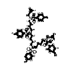 Cc1ccc(S(=O)(=O)N(CCCCN(CCCCN(CC2CC2)S(=O)(=O)c2ccc(C)cc2)S(=O)(=O)c2ccc(C)cc2)CCCCN(CC2CC2)S(=O)(=O)c2ccc(C)cc2)cc1